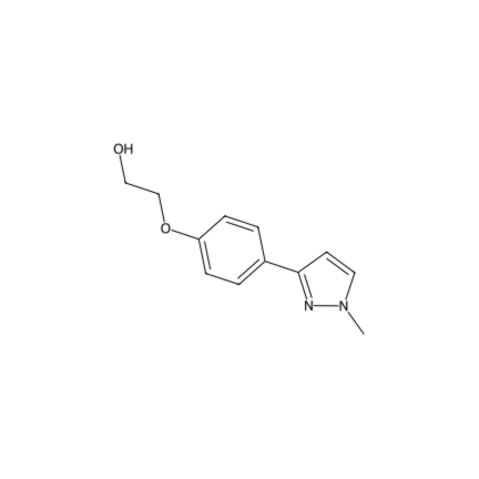 Cn1ccc(-c2ccc(OCCO)cc2)n1